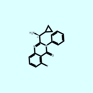 N[C@H](c1nc2cccc(F)c2c(=O)n1-c1ccccc1)C1CC1